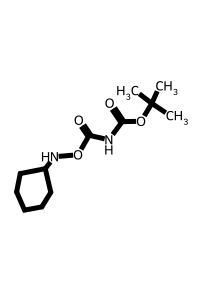 CC(C)(C)OC(=O)NC(=O)ONC1CCCCC1